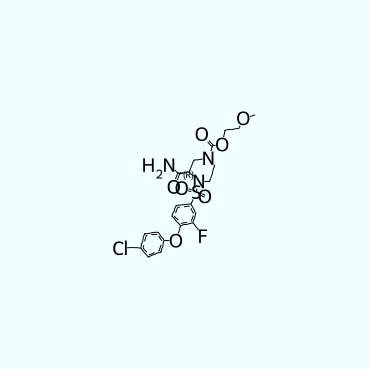 COCCOC(=O)N1CCN(S(=O)(=O)c2ccc(Oc3ccc(Cl)cc3)c(F)c2)[C@@H](C(N)=O)C1